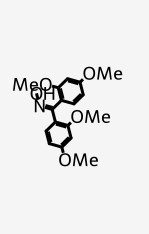 COc1ccc(C(=NO)c2ccc(OC)cc2OC)c(OC)c1